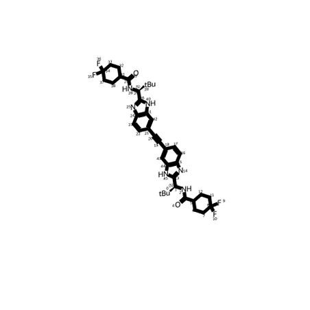 CC(C)(C)[C@H](NC(=O)C1CCC(F)(F)CC1)c1nc2ccc(C#Cc3ccc4nc([C@@H](NC(=O)C5CCC(F)(F)CC5)C(C)(C)C)[nH]c4c3)cc2[nH]1